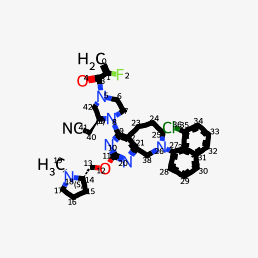 C=C(F)C(=O)N1CCN(c2nc(OC[C@@H]3CCCN3C)nc3c2CCCN(c2cccc4cccc(Cl)c24)C3)[C@@H](CC#N)C1